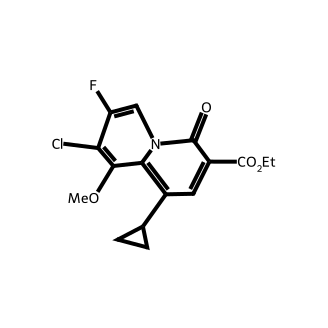 CCOC(=O)c1cc(C2CC2)c2c(OC)c(Cl)c(F)cn2c1=O